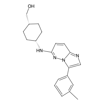 Cc1cccc(-c2cnc3ccc(N[C@H]4CC[C@@H](CO)CC4)nn23)c1